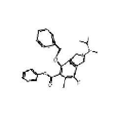 Cc1c(F)c2c(c(OCc3ccccc3)c1C(=O)Oc1ccccc1)CN([C@H](C)C(C)C)C2